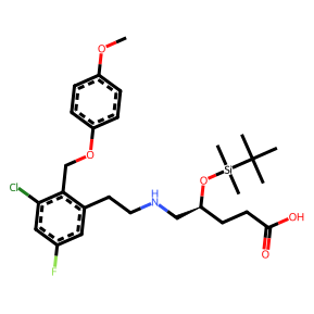 COc1ccc(OCc2c(Cl)cc(F)cc2CCNC[C@H](CCC(=O)O)O[Si](C)(C)C(C)(C)C)cc1